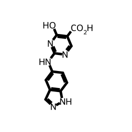 O=C(O)c1cnc(Nc2ccc3[nH]ncc3c2)nc1O